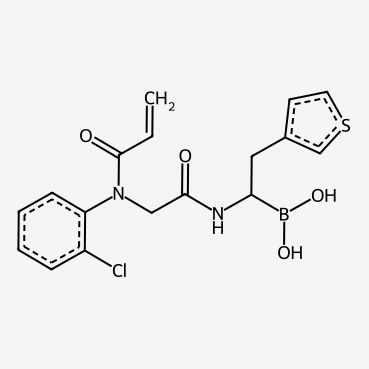 C=CC(=O)N(CC(=O)NC(Cc1ccsc1)B(O)O)c1ccccc1Cl